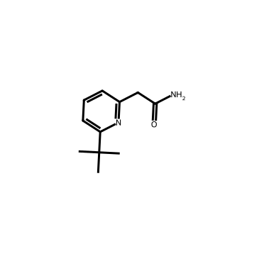 CC(C)(C)c1cccc(CC(N)=O)n1